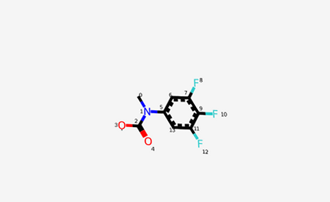 CN(C([O])=O)c1cc(F)c(F)c(F)c1